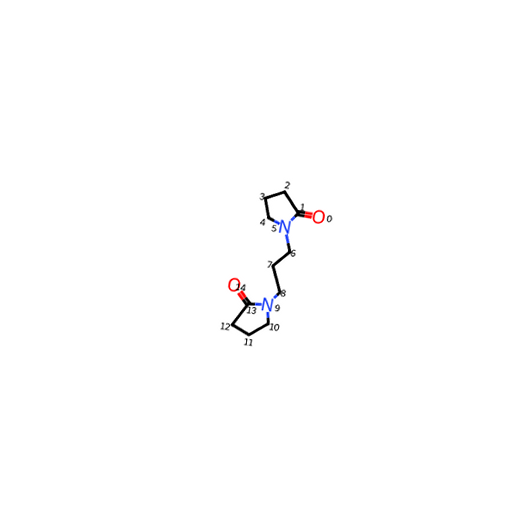 O=C1CCCN1CCCN1CCCC1=O